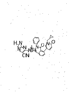 C[C@H](Nc1nc(N)ncc1C#N)c1cc2cccc(-c3ccc(=O)n(CC4CC4)c3)c2c(=O)n1-c1ccccc1